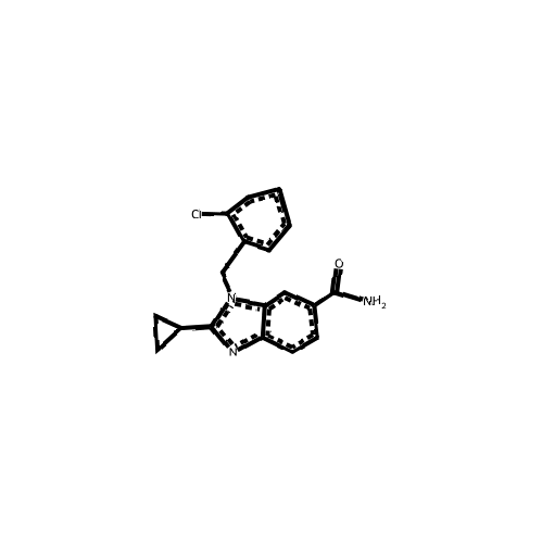 NC(=O)c1ccc2nc(C3CC3)n(Cc3ccccc3Cl)c2c1